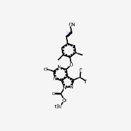 Cc1cc(/C=C/C#N)cc(C)c1Oc1nc(Cl)nc2c1c(C(F)F)nn2C(=O)OC(C)(C)C